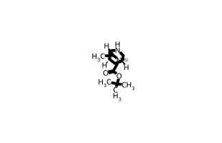 C[C@H]1[C@@H]2CC[C@@H](CN2)N1C(=O)OC(C)(C)C